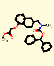 COC(=O)COc1cccc2c1CCC(CN(C)C(=O)OC(c1ccccc1)c1ccccc1)C2